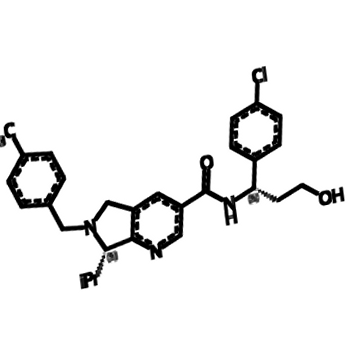 CC(C)[C@H]1c2ncc(C(=O)N[C@@H](CCO)c3ccc(Cl)cc3)cc2CN1Cc1ccc(C(F)(F)F)cc1